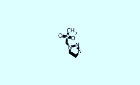 CS(=O)(=O)Cn1ccnn1